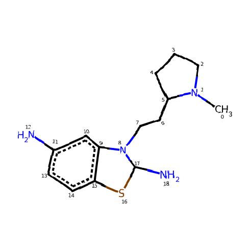 CN1CCCC1CCN1c2cc(N)ccc2SC1N